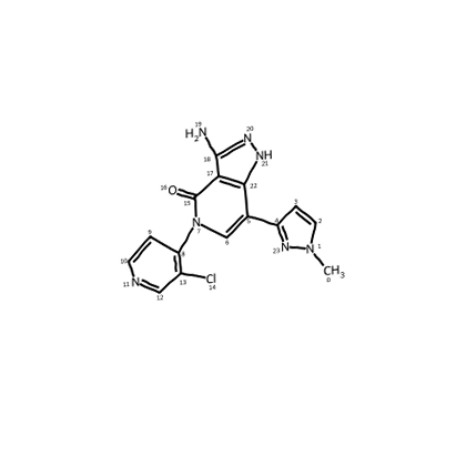 Cn1ccc(-c2cn(-c3ccncc3Cl)c(=O)c3c(N)n[nH]c23)n1